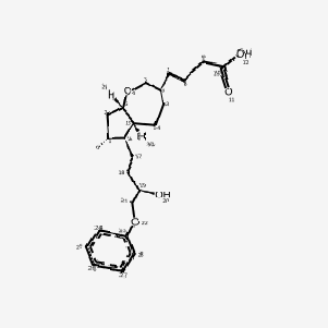 C[C@@H]1C[C@@H]2OC[C@@H](CCCC(=O)O)CC[C@@H]2[C@H]1CC[C@@H](O)COc1ccccc1